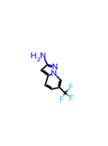 Nc1cc2ccc(C(F)(F)F)cn2n1